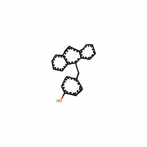 Oc1ccc([CH]c2c3ccccc3cc3ccccc23)cc1